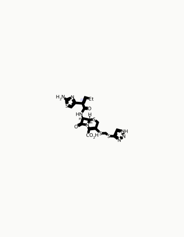 CC/C=C(\C(=O)N[C@@H]1C(=O)N2C(C(=O)O)=C(SCSc3c[nH]nn3)CS[C@H]12)c1csc(N)n1